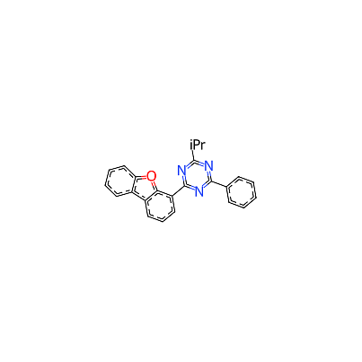 CC(C)c1nc(-c2ccccc2)nc(-c2cccc3c2oc2ccccc23)n1